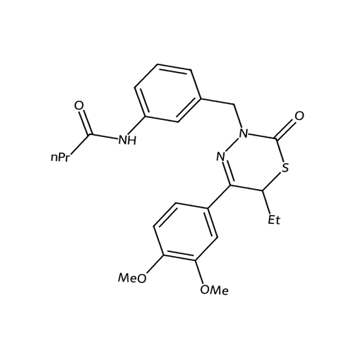 CCCC(=O)Nc1cccc(CN2N=C(c3ccc(OC)c(OC)c3)C(CC)SC2=O)c1